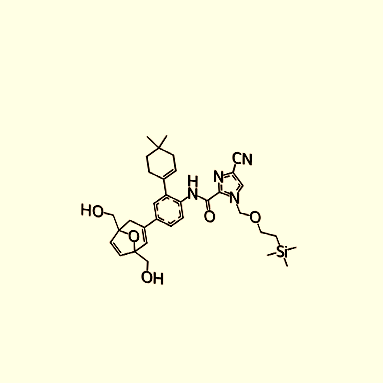 CC1(C)CC=C(c2cc(C3=CC4(CO)C=CC(CO)(C3)O4)ccc2NC(=O)c2nc(C#N)cn2COCC[Si](C)(C)C)CC1